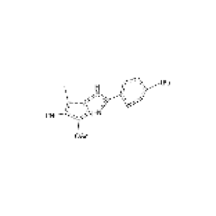 [C-]#[N+]c1c(C)c2[nH]c(-c3ccc(C(C)(C)C)cc3)nn2c1OC(C)=O